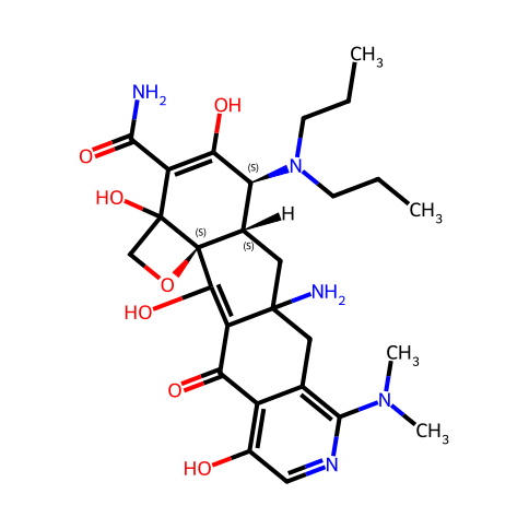 CCCN(CCC)[C@@H]1C(O)=C(C(N)=O)C2(O)CO[C@@]23C(O)=C2C(=O)c4c(O)cnc(N(C)C)c4CC2(N)C[C@@H]13